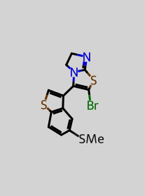 CSc1ccc2scc(C3=C(Br)SC4=NCCN43)c2c1